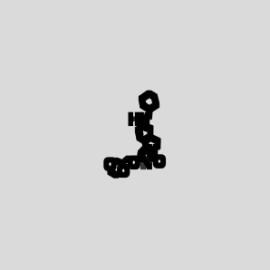 O=c1nc(OC[C@@H]2COCCO2)cc2n1CCc1cc(NCC3CCCCC3)ccc1-2